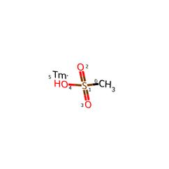 CS(=O)(=O)O.[Tm]